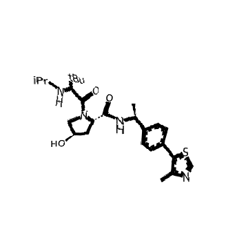 Cc1ncsc1-c1ccc([C@H](C)NC(=O)[C@@H]2C[C@@H](O)CN2C(=O)C(NC(C)C)C(C)(C)C)cc1